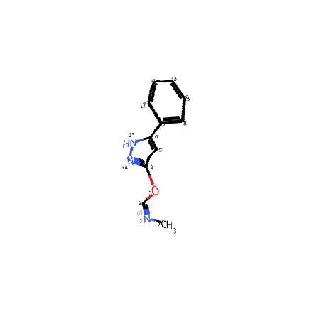 C/N=C\Oc1cc(-c2ccccc2)[nH]n1